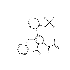 C=C(C)c1c(N(C)C(=C)C)nc(C2=C(CC(F)(F)F)CCC=C2)n1Cc1ccccc1